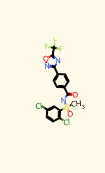 CS(=O)(=NC(=O)c1ccc(-c2noc(C(F)(F)F)n2)cc1)c1cc(Cl)ccc1Cl